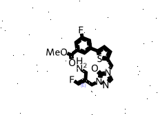 COC(=O)c1cc(F)cc(-c2ccc(Cn3cnn(C/C(=C/F)CN)c3=O)s2)c1